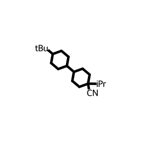 CC(C)C1(C#N)CCC(C2CCC(C(C)(C)C)CC2)CC1